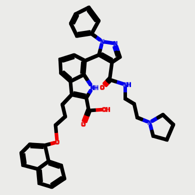 O=C(NCCCN1CCCC1)c1cnn(-c2ccccc2)c1-c1cccc2c(CCCOc3cccc4ccccc34)c(C(=O)O)[nH]c12